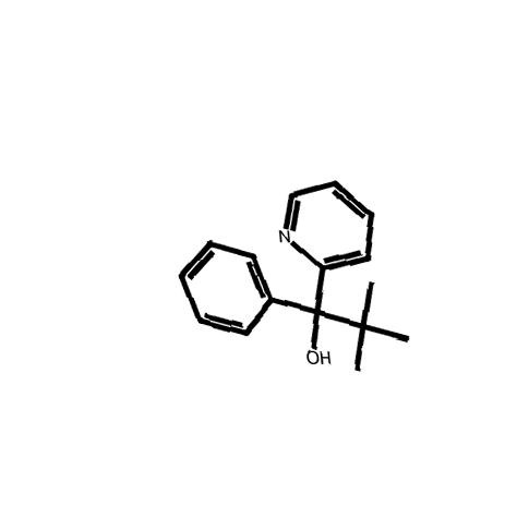 CC(C)(C)C(O)(c1ccccc1)c1ccccn1